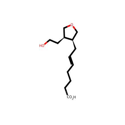 O=C(O)CCCC=CC[C@@H]1COC[C@@H]1CCO